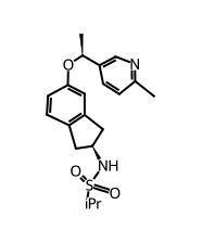 Cc1ccc([C@H](C)Oc2ccc3c(c2)C[C@@H](NS(=O)(=O)C(C)C)C3)cn1